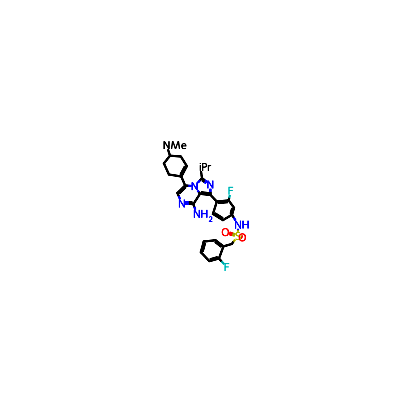 CNC1CC=C(c2cnc(N)c3c(-c4ccc(NS(=O)(=O)Cc5ccccc5F)cc4F)nc(C(C)C)n23)CC1